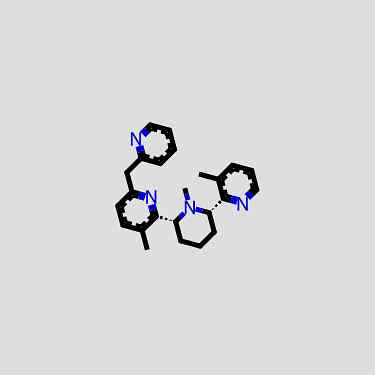 Cc1ccc(Cc2ccccn2)nc1[C@H]1CCC[C@@H](c2ncccc2C)N1C